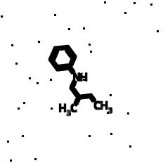 CCC(C)CNc1ccccc1